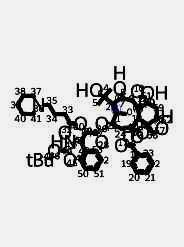 C/C1=C(/C(C)(C)O)[C@@H](O)C(=O)[C@@]2(C)C([C@H](OC(=O)c3ccccc3)C[C@@H]1OC(=O)[C@H](OC(=O)CCCN1CCCCC1)[C@@H](NC(=O)OC(C)(C)C)c1ccccc1)[C@]1(O)CO[C@@H]1C[C@@H]2O